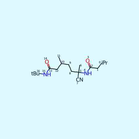 CC(C)CC(=O)NC(C)(C#N)CCC(C)CC(=O)NC(C)(C)C